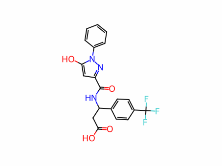 O=C(O)CC(NC(=O)c1cc(O)n(-c2ccccc2)n1)c1ccc(C(F)(F)F)cc1